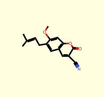 COc1cc2oc(=O)c(C#N)cc2cc1CC=C(C)C